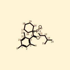 Cc1cc(C)c(C(=O)C2([P](=O)CCC(C)C)CCCCC2)c(C)c1